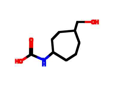 O=C(O)NC1CCCC(CO)CC1